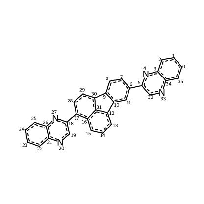 c1ccc2nc(-c3ccc4c(c3)-c3cccc5c(-c6cnc7ccccc7n6)ccc-4c35)cnc2c1